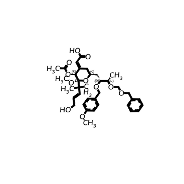 COc1ccc(CO[C@H](C[C@@H]2CC(=CC(=O)O)[C@H](OC(C)=O)[C@](OC)(C(C)(C)C=CCO)O2)[C@@H](C)OCOCc2ccccc2)cc1